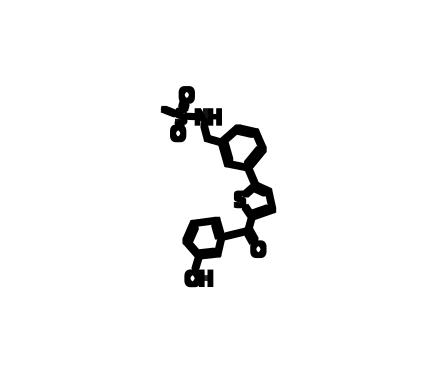 CS(=O)(=O)NCc1cccc(-c2ccc(C(=O)c3cccc(O)c3)s2)c1